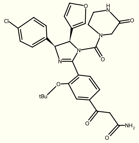 CC(C)(C)Oc1cc(C(=O)CC(N)=O)ccc1C1=N[C@@H](c2ccc(Cl)cc2)[C@@H](c2ccoc2)N1C(=O)N1CCNC(=O)C1